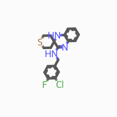 Fc1ccc(CNC2=Nc3ccccc3NC23CCSCC3)cc1Cl